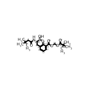 CC(C)(C)CC(=O)N[C@H]1Cc2cccc(C(=O)OCOC(=O)C(C)(C)C)c2OB1O